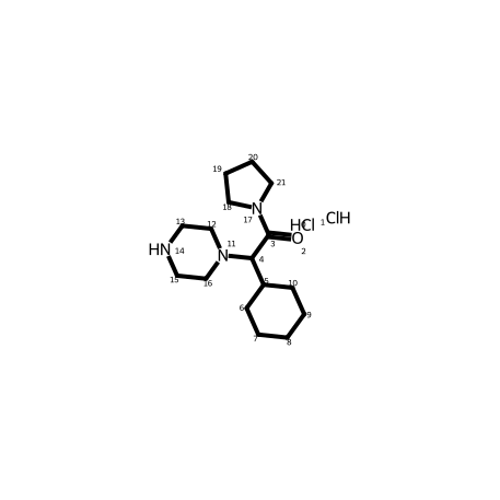 Cl.Cl.O=C(C(C1CCCCC1)N1CCNCC1)N1CCCC1